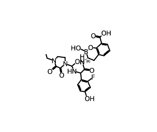 CCN1CCN(C(O)NC(C(=O)N[C@H]2Cc3cccc(C(=O)O)c3OB2O)c2ccc(O)cc2F)C(=O)C1=O